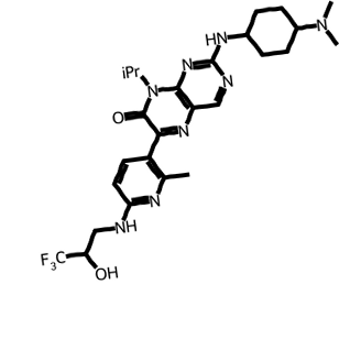 Cc1nc(NCC(O)C(F)(F)F)ccc1-c1nc2cnc(NC3CCC(N(C)C)CC3)nc2n(C(C)C)c1=O